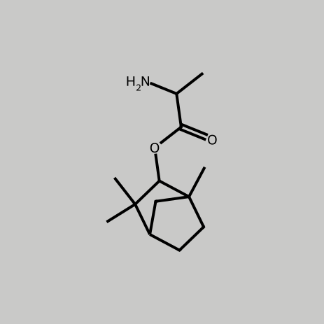 CC(N)C(=O)OC1C2(C)CCC(C2)C1(C)C